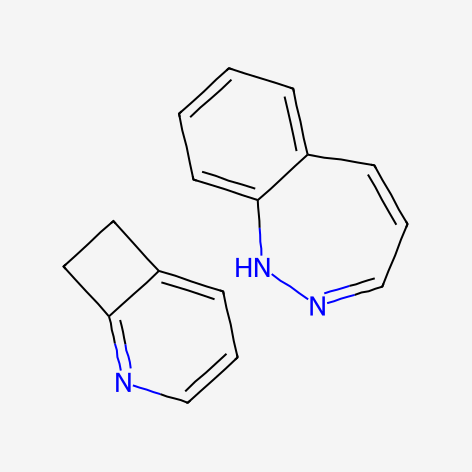 C1=Cc2ccccc2NN=C1.c1cnc2c(c1)CC2